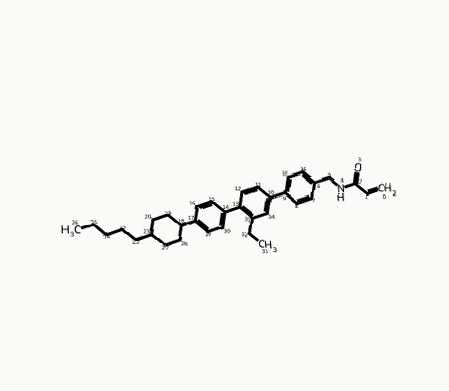 C=CC(=O)NCc1ccc(-c2ccc(-c3ccc(C4CCC(CCCCC)CC4)cc3)c(CC)c2)cc1